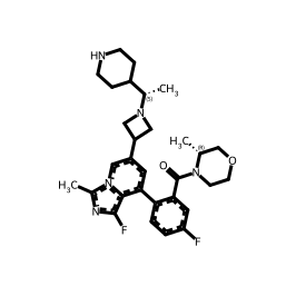 Cc1nc(F)c2c(-c3ccc(F)cc3C(=O)N3CCOC[C@H]3C)cc(C3CN([C@@H](C)C4CCNCC4)C3)cn12